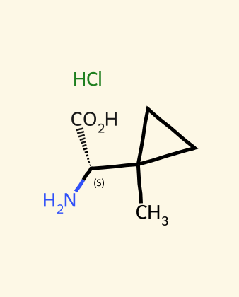 CC1([C@H](N)C(=O)O)CC1.Cl